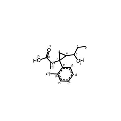 CCC(O)C1CC1(NC(=O)O)c1ccccc1I